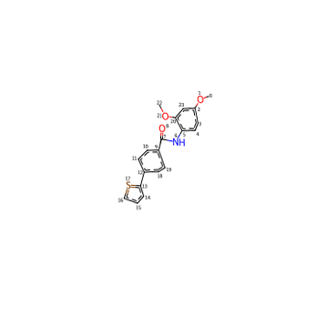 COc1ccc(NC(=O)c2ccc(-c3cccs3)cc2)c(OC)c1